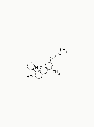 COCCOC1C=C(C)C(CC2=NC(C3CCCCC3)C(O)CC2)=C(C)C1